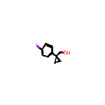 OCC1(c2ccc(I)cc2)CC1